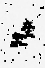 CNC(=O)C(=NOC)c1ccccc1CNOC(C)C=Cc1c(Cl)cccc1Cl